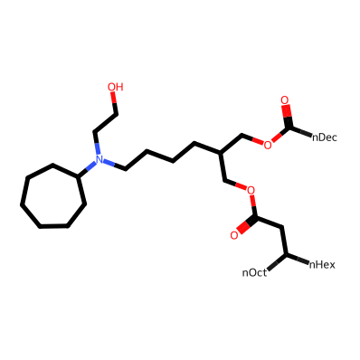 CCCCCCCCCCC(=O)OCC(CCCCN(CCO)C1CCCCCC1)COC(=O)CC(CCCCCC)CCCCCCCC